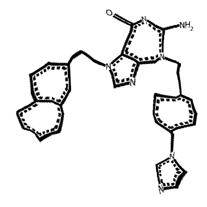 Nc1nc(=O)c2c(ncn2Cc2ccc3ccccc3c2)n1Cc1ccc(-n2ccnc2)cc1